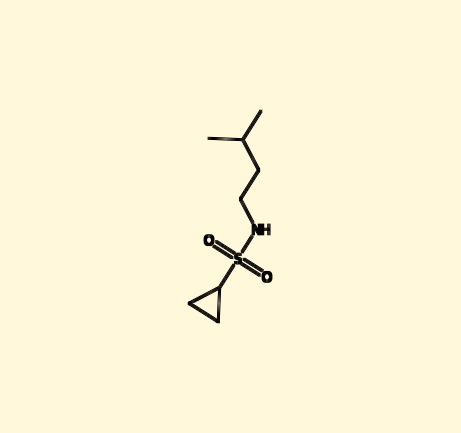 CC(C)CCNS(=O)(=O)C1CC1